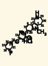 Cl.Cn1c2c(c3ccc(-n4ncc(OCN5C=CC=C(F)C5)cc4=O)cc31)CNCCC2